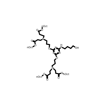 CCCCCCCCOC(=O)CCN(CCCOc1nc(NCCCCO)nc(OCCCN(CCC(=O)OCCCCCCCC)CCC(=O)OCCCCCCCC)n1)CCC(=O)OCCCCCCCC